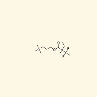 CCC(C)(C(=O)OCCC[Si](C)(C)C)C(F)(F)F